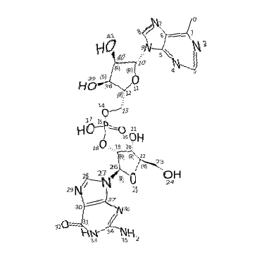 Cc1ncnc2c1ncn2[C@@H]1O[C@H](COP(=O)(O)O[C@@H]2[C@H](O)[C@@H](CO)O[C@H]2n2cnc3c(=O)[nH]c(N)nc32)[C@@H](O)[C@H]1O